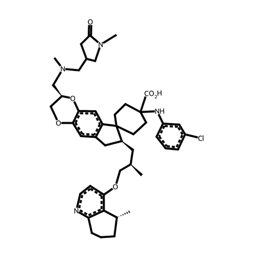 C[C@@H](COc1ccnc2c1[C@H](C)CCC2)C[C@H]1Cc2cc3c(cc2C12CCC(Nc1cccc(Cl)c1)(C(=O)O)CC2)O[C@H](CN(C)CC1CC(=O)N(C)C1)CO3